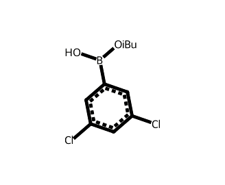 CC(C)COB(O)c1cc(Cl)cc(Cl)c1